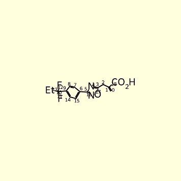 C=C(Cc1nc(-c2ccc(C(F)(F)CC)cc2)no1)C(=O)O